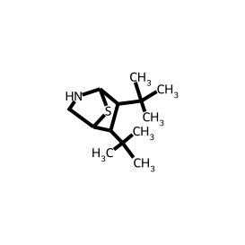 CC(C)(C)C1C2CNC(S2)C1C(C)(C)C